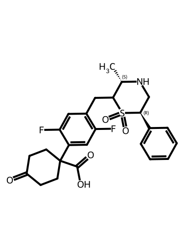 C[C@@H]1NC[C@@H](c2ccccc2)S(=O)(=O)C1Cc1cc(F)c(C2(C(=O)O)CCC(=O)CC2)cc1F